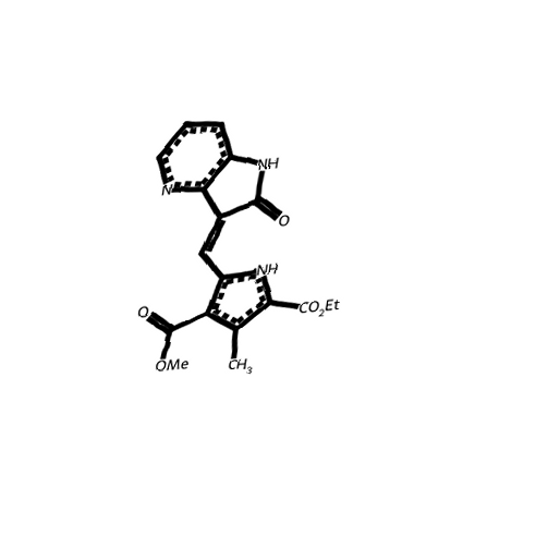 CCOC(=O)c1[nH]c(C=C2C(=O)Nc3cccnc32)c(C(=O)OC)c1C